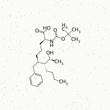 CCCC[C@H]([C@H](CCC[C@H](NC(=O)OC(C)(C)C)C(=O)O)Cc1ccccc1)[C@H](C)O